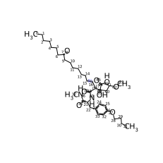 CCCCCCCC(=O)CCCCCC/C=C/[C@H](C(=O)NC(Cc1ccc(OCCCC)cc1)C(=O)NC)[C@@](O)(CCOC)C(=O)O